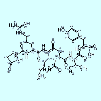 CC(C)[C@H](NC(=O)[C@H](CC(N)=O)NC(=O)[C@H](CCCCN)NC(=O)[C@H](CCCNC(=N)N)NC(=O)[C@@H]1CCC(=O)N1)C(=O)N[C@@H](Cc1ccc(O)cc1)C(=O)O